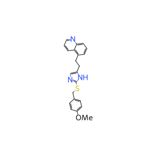 COc1ccc(CSc2ncc(CCc3cccc4ncccc34)[nH]2)cc1